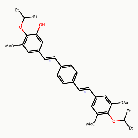 CCC(CC)Oc1c(O)cc(/C=C/c2ccc(/C=C/c3cc(OC)c(OC(CC)CC)c(OC)c3)cc2)cc1OC